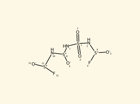 O=S(=O)(N[S+]([O-])F)N[S+]([O-])N[S+]([O-])F